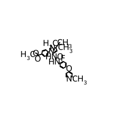 COC(=O)c1ccc(-n2nc(C(C)(C)C)cc2NC(=O)Nc2ccc(Oc3ccnc(C)c3)cc2F)cc1